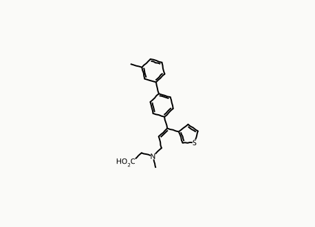 Cc1cccc(-c2ccc(C(=CCN(C)CC(=O)O)c3ccsc3)cc2)c1